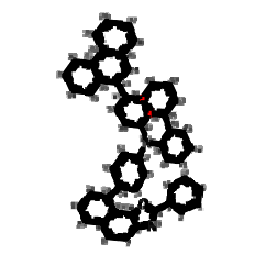 c1ccc(-c2nc3ccc4cccc(-c5ccc(N(c6ccc(-c7cc8ccccc8c8ccccc78)cc6)c6ccccc6-c6ccccc6)cc5)c4c3o2)cc1